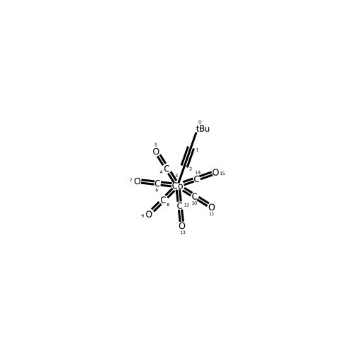 CC(C)(C)C#[C][Co](=[C]=O)(=[C]=O)(=[C]=O)(=[C]=O)(=[C]=O)=[C]=O